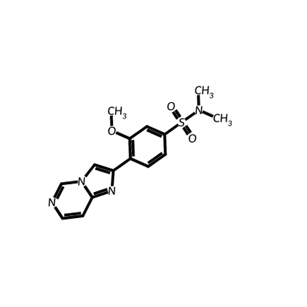 COc1cc(S(=O)(=O)N(C)C)ccc1-c1cn2cnccc2n1